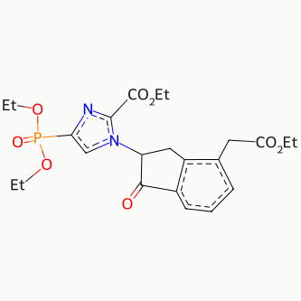 CCOC(=O)Cc1cccc2c1CC(n1cc(P(=O)(OCC)OCC)nc1C(=O)OCC)C2=O